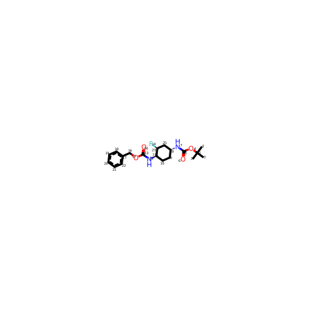 CC(C)(C)OC(=O)N[C@@H]1CC[C@@H](NC(=O)OCc2ccccc2)[C@@H](F)C1